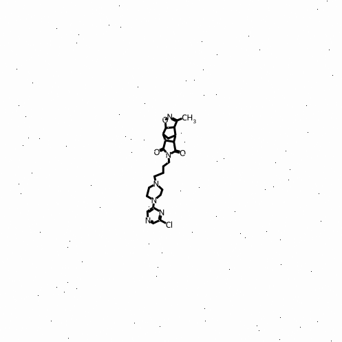 CC1=NOC2C3CC(C12)C1C(=O)N(CCCCN2CCN(c4cncc(Cl)n4)CC2)C(=O)C31